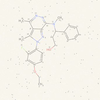 CCOc1ccc(-n2nc3c(N(C)C(CCO)c4ccccc4)nnc(C)c3c2C)c(F)c1